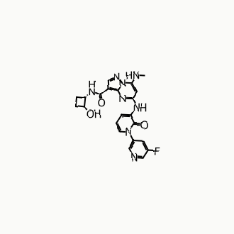 CNc1cc(Nc2cccn(-c3cncc(F)c3)c2=O)nc2c(C(=O)N[C@H]3CC[C@@H]3O)cnn12